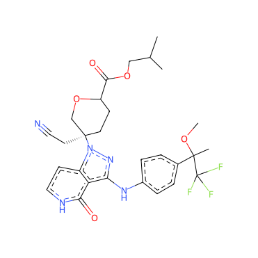 COC(C)(c1ccc(Nc2nn([C@]3(CC#N)CCC(C(=O)OCC(C)C)OC3)c3cc[nH]c(=O)c23)cc1)C(F)(F)F